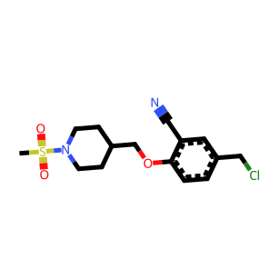 CS(=O)(=O)N1CCC(COc2ccc(CCl)cc2C#N)CC1